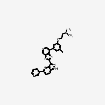 CN(C)CCOc1cc(F)cc(-c2cncc3[nH]c(-c4n[nH]c5ccc(-c6cccnc6)nc45)nc23)c1